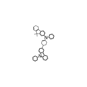 CC1(C)C2=C(CCC=C2)c2ccc(N(C3=CCC(c4ccc5c(c4)c4ccccc4n5-c4ccccc4)CC3)c3ccccc3)cc21